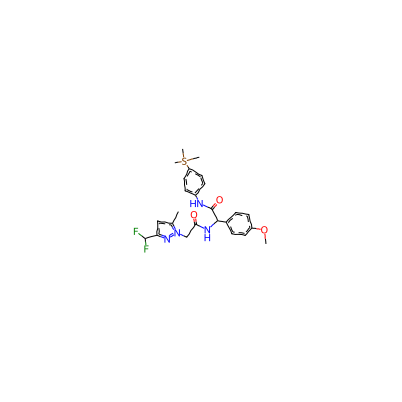 COc1ccc(C(NC(=O)Cn2nc(C(F)F)cc2C)C(=O)Nc2ccc(S(C)(C)C)cc2)cc1